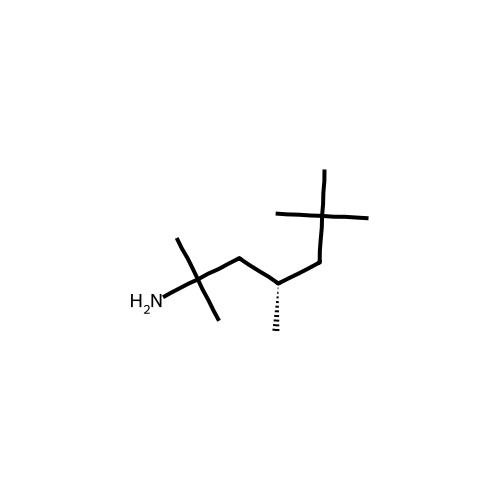 C[C@@H](CC(C)(C)C)CC(C)(C)N